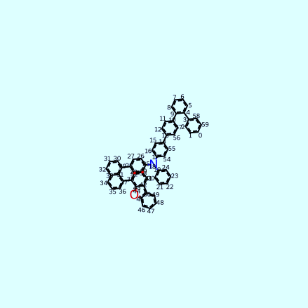 c1ccc(-c2ccccc2-c2ccc(-c3ccc(N(c4ccccc4)c4ccc(-c5cccc6cccc(-c7cccc8c7oc7ccccc78)c56)cc4)cc3)cc2)cc1